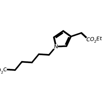 CCOC(=O)Cc1ccn(CCCCCC(=O)O)c1